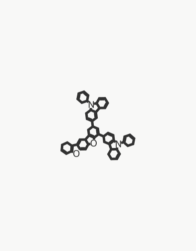 C1=CCCC(N2C3=C(CC(C4=CC(C5=CCC6C(=C5)C5C=CC=CC5N6C5C=CC=CC5)CC5=C4OC4C=c6oc7c(c6=CC54)CCC=C7)C=C3)C3CCC=CC32)=C1